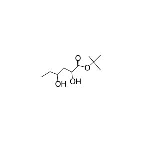 CCC(O)CC(O)C(=O)OC(C)(C)C